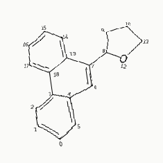 c1ccc2c(c1)cc(C1CCCO1)c1ccccc12